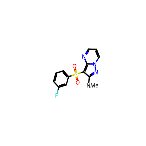 CNc1nn2cccnc2c1S(=O)(=O)c1cccc(F)c1